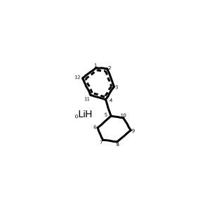 [LiH].c1ccc(C2CCCCC2)cc1